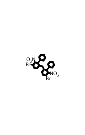 O=[N+]([O-])c1c(Br)ccc(Cc2ccc(Br)c([N+](=O)[O-])c2-c2ccccc2)c1-c1ccccc1